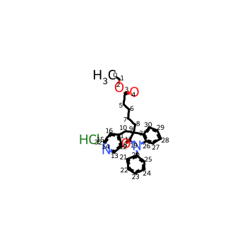 CCOC(=O)CCCCC1(Cc2ccncc2)C(=O)N(c2ccccc2)c2ccccc21.Cl